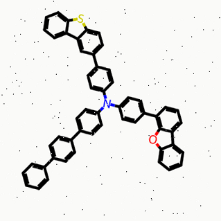 c1ccc(-c2ccc(-c3ccc(N(c4ccc(-c5ccc6sc7ccccc7c6c5)cc4)c4ccc(-c5cccc6c5oc5ccccc56)cc4)cc3)cc2)cc1